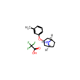 Cc1cccc(O[C@H]2C[C@H]3CC[C@@H](C2)N3)c1.O=C(O)C(F)(F)F